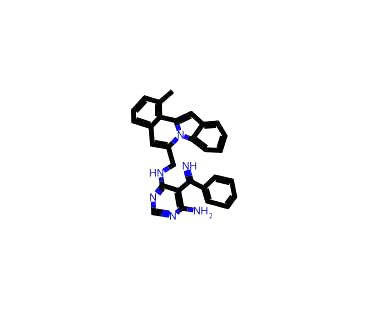 Cc1cccc2cc(CNc3ncnc(N)c3C(=N)c3ccccc3)n3c4ccccc4cc3c12